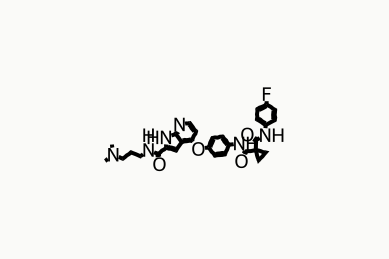 CN(C)CCCNC(=O)c1cc2c(Oc3ccc(NC(=O)C4(C(=O)Nc5ccc(F)cc5)CC4)cc3)ccnc2[nH]1